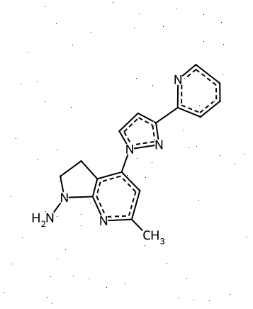 Cc1cc(-n2ccc(-c3ccccn3)n2)c2c(n1)N(N)CC2